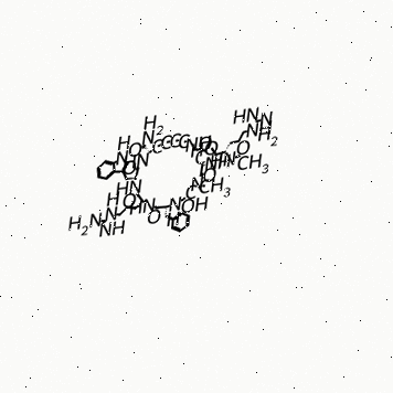 CC(=O)N[C@@H](CCCNC(=N)N)C(O)N[C@H]1CC(=O)NCCCC[C@@H](C(N)=O)NC(=O)[C@H](Cc2c[nH]c3ccccc23)NC(=O)[C@H](CCCNC(=N)N)NC(=O)[C@@H](Cc2ccccc2)NC(O)CN(C)C1=O